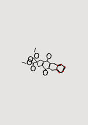 CCOC(=O)C1(C(=O)OCC)CC2=C(C1)C(=O)C1=C(C2=O)C2c3ccccc3C1c1ccccc12